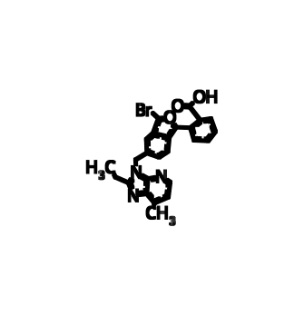 CCc1nc2c(C)ccnc2n1Cc1ccc2c(-c3ccccc3C(=O)O)oc(Br)c2c1